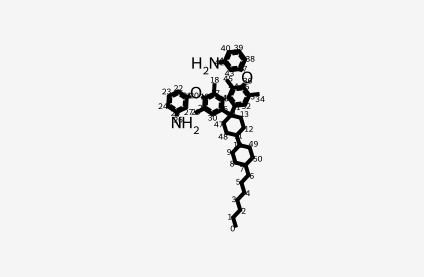 CCCCCCCC1CCC(C2CCC(c3cc(C)c(Oc4cccc(N)c4)c(C)c3)(c3cc(C)c(Oc4cccc(N)c4)c(C)c3)CC2)CC1